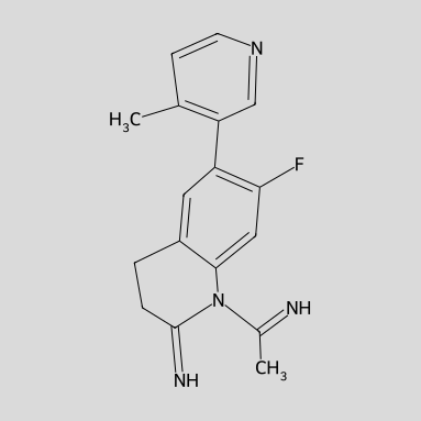 CC(=N)N1C(=N)CCc2cc(-c3cnccc3C)c(F)cc21